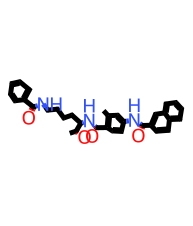 CC(=O)C(CCCCNC(=O)c1ccccc1)NC(=O)c1ccc(NC(=O)c2ccc3ccccc3c2)cc1C